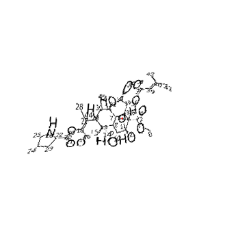 COC(=O)[C@@]12OC[C@]34C([C@@H](O)[C@@H]1O)[C@@]1(C)CC(=O)C(OC(=O)[C@H]5CCCN5)=C(C)[C@@H]1C[C@H]3OC(=O)[C@H](OC(=O)C=C(C)C)[C@@H]24